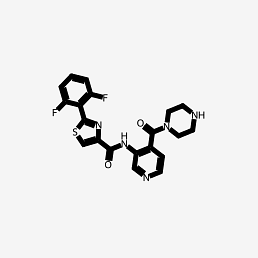 O=C(Nc1cnccc1C(=O)N1CCNCC1)c1csc(-c2c(F)cccc2F)n1